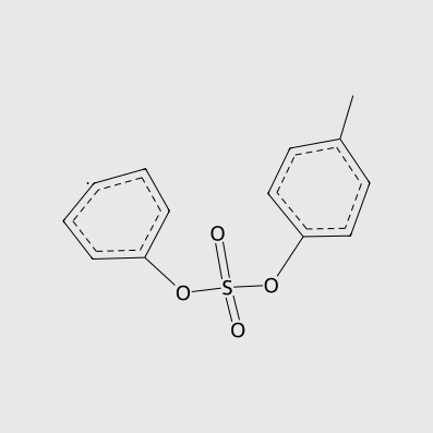 Cc1ccc(OS(=O)(=O)Oc2cc[c]cc2)cc1